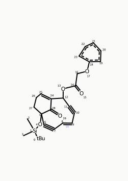 CC(C)(C)[Si](C)(C)OC12C#C/C=C/C#CC(OC(=O)COc3ccccc3)C(=CCC1)C2=O